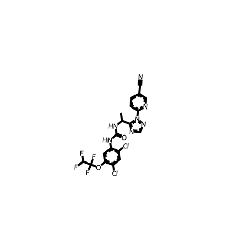 CC(NC(=O)Nc1cc(OC(F)(F)C(F)F)c(Cl)cc1Cl)c1ncnn1-c1ccc(C#N)cn1